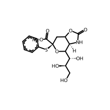 COC(=O)[C@]1(Sc2ccccc2)CC2OC(=O)N[C@H]2C([C@H](O)[C@H](O)CO)O1